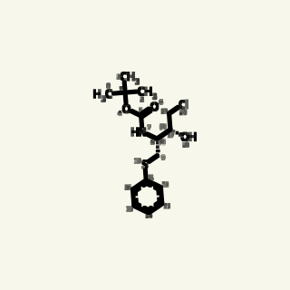 CC(C)(C)OC(=O)N[C@@H](CSc1ccccc1)[C@@H](O)CCl